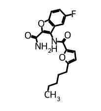 CCCCCc1ccc(C(=O)Nc2c(C(N)=O)oc3ccc(F)cc23)o1